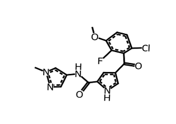 COc1ccc(Cl)c(C(=O)c2c[nH]c(C(=O)Nc3cnn(C)c3)c2)c1F